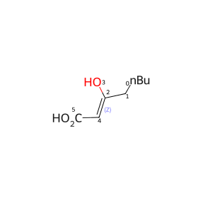 CCCCC/C(O)=C/C(=O)O